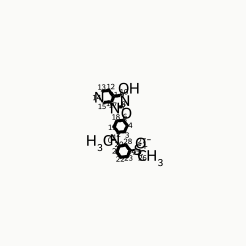 CN(c1ccc(Oc2nc(O)c3ccncc3n2)cc1)c1cccc([S+](C)[O-])c1